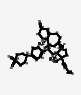 CC#C[C@]1(O)CC[C@H]2[C@@H]3CCC4=CC(=O)CC[C@]4(C)[C@H](C3)[C@@H](c3ccc(N4CCS(=O)(=O)CC4)cc3)C[C@@]21C